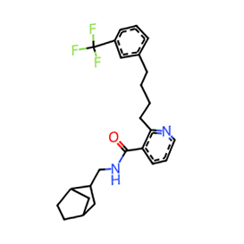 O=C(NCC1CC2CCC1C2)c1cccnc1CCCCc1cccc(C(F)(F)F)c1